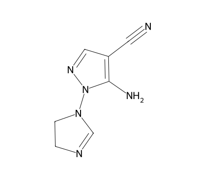 N#Cc1cnn(N2C=NCC2)c1N